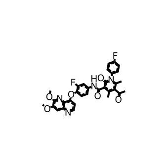 COc1cc2nccc(Oc3ccc(NC(=O)c4c(C)c(C(C)=O)c(C)n(-c5ccc(F)cc5)c4=O)cc3F)c2nc1OC